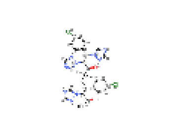 CC(C)(C)C(=O)C(=C(CC(C)(C)C(=O)C(C(c1ccc(Cl)cc1)n1cncn1)n1cncn1)c1ccc(Cl)cc1)n1cncn1